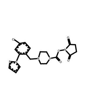 O=C(ON1C(=O)CCC1=O)N1CCN(Cc2ccc(Cl)cc2-n2cccn2)CC1